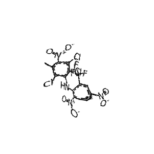 Cc1c(Cl)c(Nc2c([N+](=O)[O-])cc([N+](=O)[O-])cc2C(F)(F)F)c(Cl)c(Cl)c1[N+](=O)[O-]